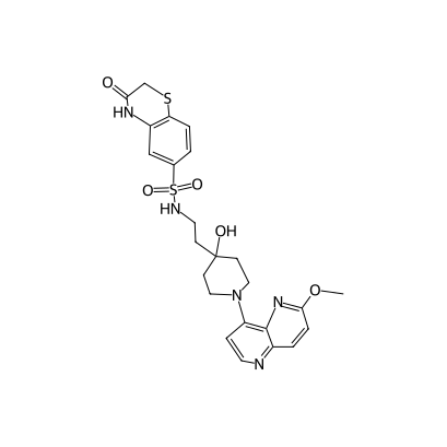 COc1ccc2nccc(N3CCC(O)(CCNS(=O)(=O)c4ccc5c(c4)NC(=O)CS5)CC3)c2n1